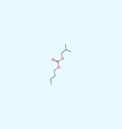 CCCCOC(=O)OC[C](C)C